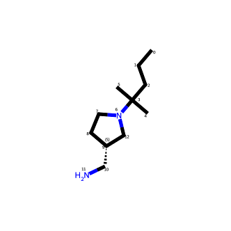 CCCC(C)(C)N1CC[C@@H](CN)C1